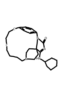 O=C1N=C(NC2CCCCC2)C23CCN(CCCCCCCCc4ccc(cc4)N12)CC3